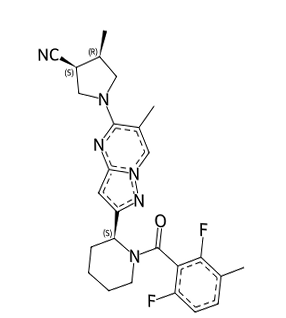 Cc1cn2nc([C@@H]3CCCCN3C(=O)c3c(F)ccc(C)c3F)cc2nc1N1C[C@@H](C#N)[C@@H](C)C1